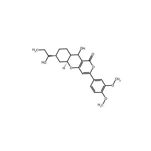 CCC(O)[C@H]1CCC2C(O)c3c(cc(-c4ccc(OC)c(OC)c4)oc3=O)O[C@H]2C1